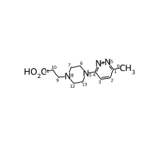 Cc1ccc(N2CCN(CCC(=O)O)CC2)nn1